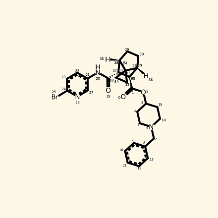 O=C(OC1CCN(Cc2ccccc2)CC1)[C@H]1[C@H](C(=O)Nc2ccc(Br)nc2)[C@@H]2CC[C@H]1C21CC1